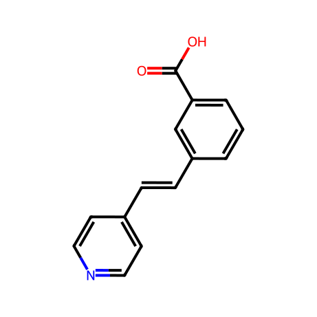 O=C(O)c1cccc(/C=C/c2ccncc2)c1